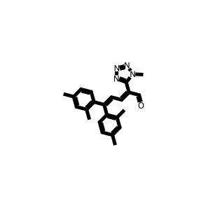 Cc1ccc(C(=C/C=C(/C=O)c2nnnn2C)c2ccc(C)cc2C)c(C)c1